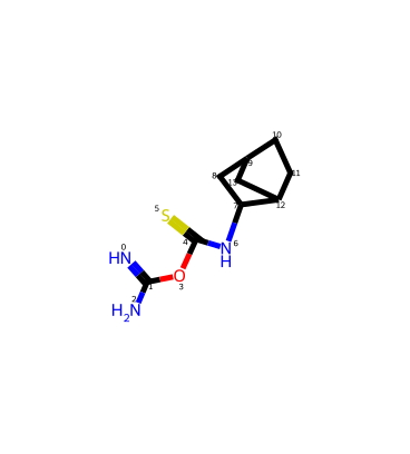 N=C(N)OC(=S)NC1CC2CCC1C2